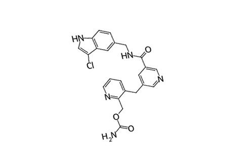 NC(=O)OCc1ncccc1Cc1cncc(C(=O)NCc2ccc3[nH]cc(Cl)c3c2)c1